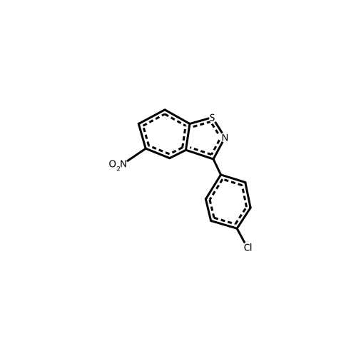 O=[N+]([O-])c1ccc2snc(-c3ccc(Cl)cc3)c2c1